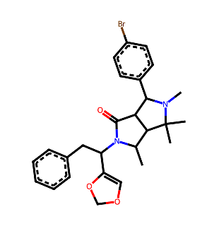 CC1C2C(C(=O)N1C(Cc1ccccc1)C1=COCO1)C(c1ccc(Br)cc1)N(C)C2(C)C